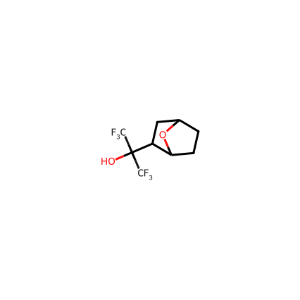 OC(C1CC2CCC1O2)(C(F)(F)F)C(F)(F)F